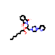 CCCCCCCC(=O)OC(CN1CCN(c2ccccn2)CC1)CN1C(=O)c2ccccc2C1=O